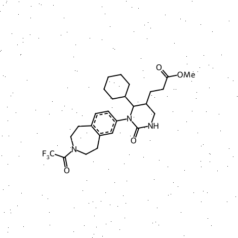 COC(=O)CCC1CNC(=O)N(c2ccc3c(c2)CCN(C(=O)C(F)(F)F)CC3)C1C1CCCCC1